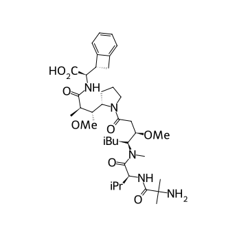 CC[C@H](C)[C@@H]([C@@H](CC(=O)N1CCC[C@H]1[C@H](OC)[C@@H](C)C(=O)N[C@@H](C(=O)O)[C@H]1Cc2ccccc21)OC)N(C)C(=O)[C@@H](NC(=O)C(C)(C)N)C(C)C